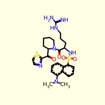 CN(C)c1cccc2c(S(=O)(=O)NC(CCCNC(=N)N)C(=O)N3CCCCC3C(=O)c3nccs3)cccc12